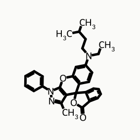 CCN(CCC(C)C)c1ccc2c(c1)Oc1c(c(C)nn1-c1ccccc1)C21OC(=O)c2ccccc21